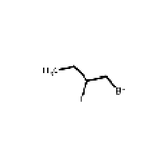 CCC(I)CBr